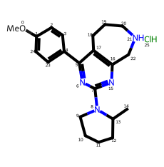 COc1ccc(-c2nc(N3CCCCC3C)nc3c2CCCNC3)cc1.Cl